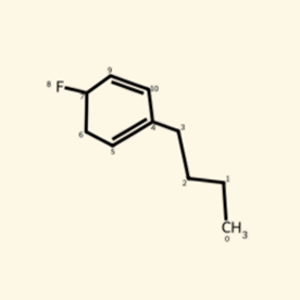 CCCCC1=CCC(F)C=C1